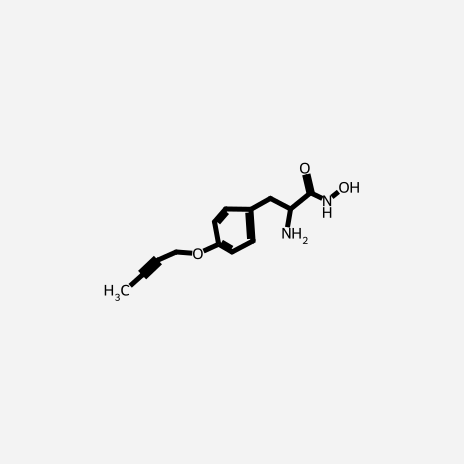 CC#CCOc1ccc(CC(N)C(=O)NO)cc1